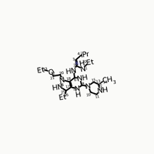 CCN/C(=C\C(C)C)NC1NC(N2CCN[C@H](C)C2)NC2=C1N(CCOCC)NC2CC